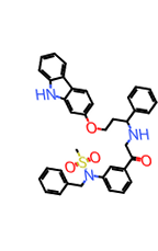 CS(=O)(=O)N(Cc1ccccc1)c1cccc(C(=O)CNC(CCOc2ccc3c(c2)[nH]c2ccccc23)c2ccccc2)c1